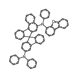 c1ccc(N(c2ccccc2)c2ccc3c(c2)-c2ccccc2C32c3ccccc3-c3c2cc(N(c2ccccc2)c2cccc4c2oc2ccccc24)c2ccccc32)cc1